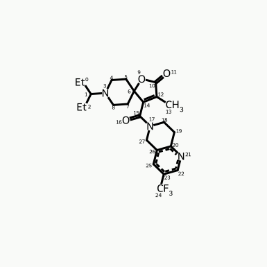 CCC(CC)N1CCC2(CC1)OC(=O)C(C)=C2C(=O)N1CCc2ncc(C(F)(F)F)cc2C1